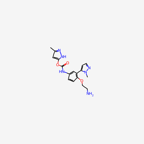 Cc1cc(OC(=O)Nc2ccc(OCCN)c(-c3ccnn3C)c2)[nH]n1